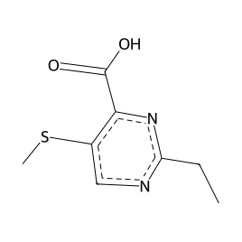 CCc1ncc(SC)c(C(=O)O)n1